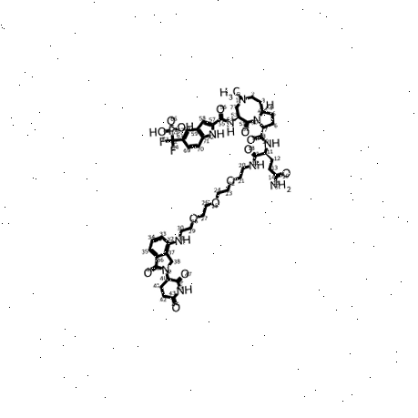 CN1CC[C@H]2CC[C@@H](C(=O)N[C@@H](CCC(N)=O)C(=O)NCCOCCOCCOCCNc3cccc4c3CN(C3CCC(=O)NC3=O)C4=O)N2C(=O)[C@@H](NC(=O)c2cc3cc(C(F)(F)P(=O)(O)O)ccc3[nH]2)C1